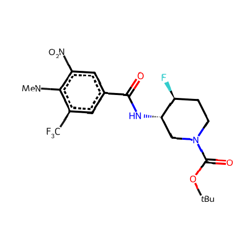 CNc1c([N+](=O)[O-])cc(C(=O)N[C@H]2CN(C(=O)OC(C)(C)C)CC[C@@H]2F)cc1C(F)(F)F